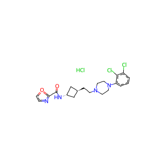 Cl.O=C(N[C@H]1C[C@H](CCN2CCN(c3cccc(Cl)c3Cl)CC2)C1)c1ncco1